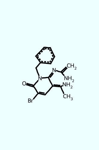 C=C(N)/N=C1\C(=C(\C)N)C=C(Br)C(=O)N1Cc1ccccc1